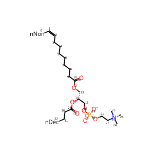 CCCCCCCCC/C=C\CCCCCCCC(=O)OC[C@H](COP(=O)([O-])OCC[N+](C)(C)C)OC(=O)CCCCCCCCCCCC